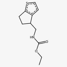 CCOC(=O)NCC1CCc2sccc21